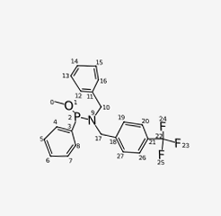 COP(c1ccccc1)N(Cc1ccccc1)Cc1ccc(C(F)(F)F)cc1